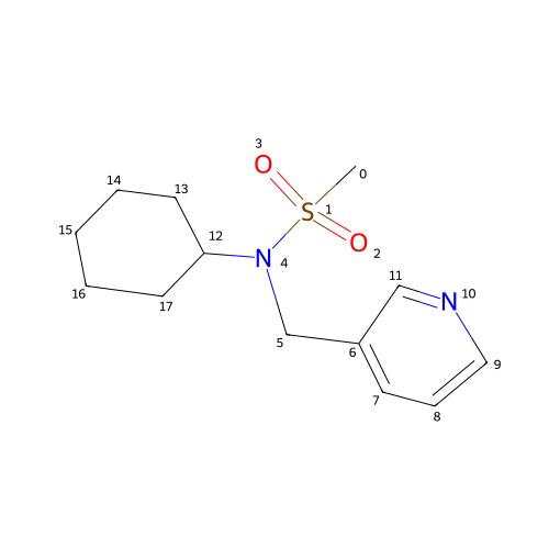 CS(=O)(=O)N(Cc1cccnc1)C1CCCCC1